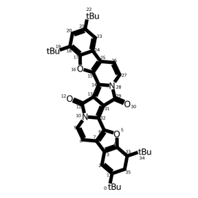 CC(C)(C)C1=Cc2c(oc3c2C=CN2C(=O)C4=C5c6oc7c(C(C)(C)C)cc(C(C)(C)C)cc7c6C=CN5C(=O)C4=C32)C(C(C)(C)C)C1